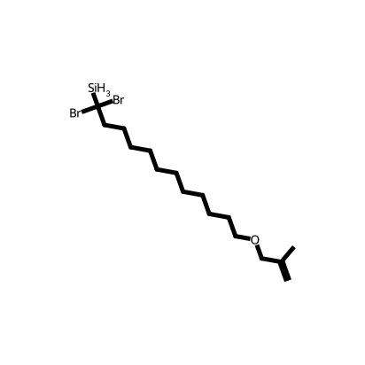 C=C(C)COCCCCCCCCCCCC([SiH3])(Br)Br